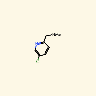 CNCc1ccc(Cl)cn1